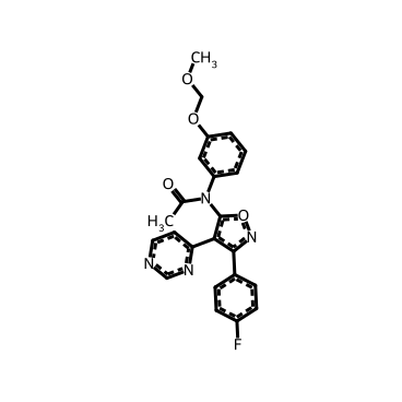 COCOc1cccc(N(C(C)=O)c2onc(-c3ccc(F)cc3)c2-c2ccncn2)c1